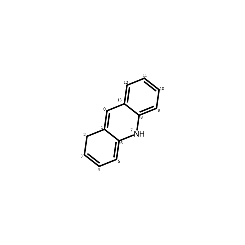 [C]1=C2CC=CC=C2Nc2ccccc21